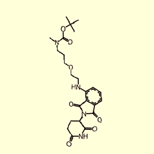 CN(CCCOCCNc1cccc2c1C(=O)N(C1CCC(=O)NC1=O)C2=O)C(=O)OC(C)(C)C